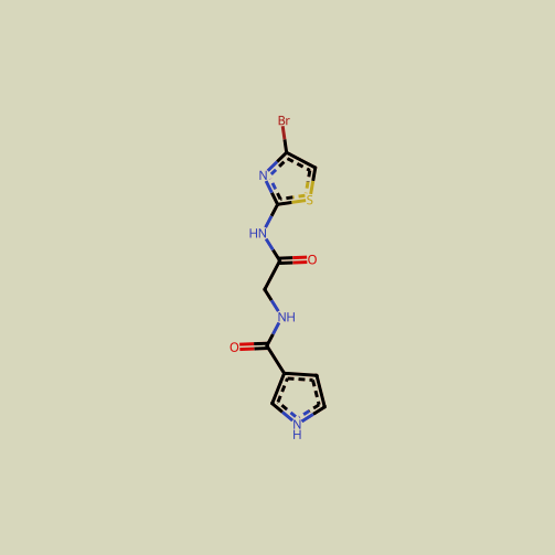 O=C(CNC(=O)c1cc[nH]c1)Nc1nc(Br)cs1